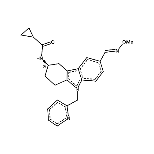 CON=Cc1ccc2c(c1)c1c(n2Cc2ccccn2)CC[C@@H](NC(=O)C2CC2)C1